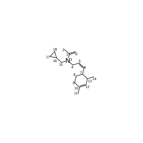 C=C(C)N(C/C=C\C1CCC(C)=CC1C)CC1CC1